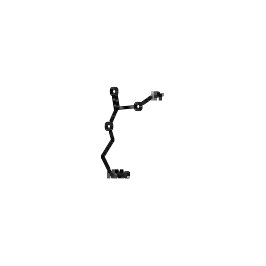 CNCCOC(=O)OC(C)C